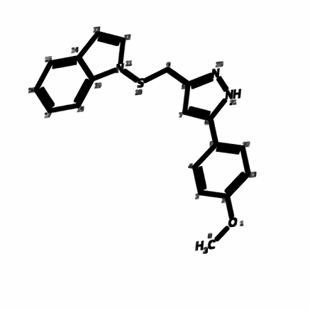 COc1ccc(-c2cc(CSn3ccc4ccccc43)n[nH]2)cc1